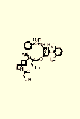 Cc1cccc(C)c1-c1cc2nc(n1)NS(=O)(=O)c1cccc(c1)C(=O)N(C1CC3(CCN3C(=O)CO)C1)[C@H](CC(C)(C)C)CO2